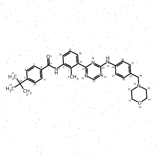 Cc1c(NC(=O)c2ccc(C(C)(C)C)cc2)cccc1-c1ncnc(Nc2ccc(CN3CCOCC3)cc2)n1